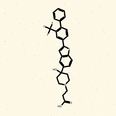 O=C(O)CCN1CCC(O)(c2ccc3sc(-c4ccc(-c5ccccc5)c(C(F)(F)F)c4)cc3c2)CC1